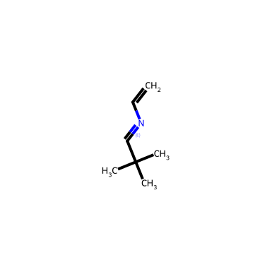 C=C/N=C/C(C)(C)C